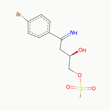 CS(=O)(=O)OC[C@H](O)CC(=N)c1ccc(Br)cc1